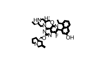 C=C1CN2CCC[C@@]2(COc2nc3c4c(nc(-c5cc(O)cc6cccc(CC)c56)c(F)c4n2)O[C@@H](C)[C@@H]2CN[C@H](CC)CN32)C1